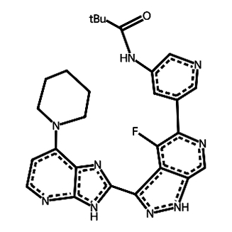 CC(C)(C)C(=O)Nc1cncc(-c2ncc3[nH]nc(-c4nc5c(N6CCCCC6)ccnc5[nH]4)c3c2F)c1